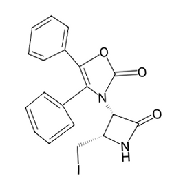 O=C1N[C@H](CI)[C@@H]1n1c(-c2ccccc2)c(-c2ccccc2)oc1=O